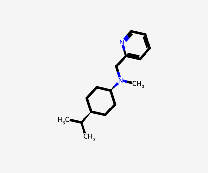 CC(C)[C@H]1CC[C@@H](N(C)Cc2ccccn2)CC1